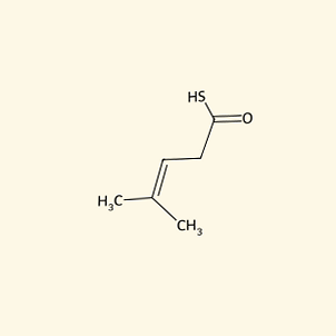 CC(C)=CCC(=O)S